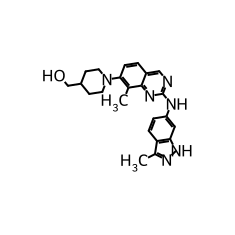 Cc1n[nH]c2cc(Nc3ncc4ccc(N5CCC(CO)CC5)c(C)c4n3)ccc12